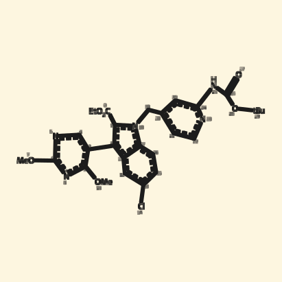 CCOC(=O)c1c(-c2cnc(OC)nc2OC)c2cc(Cl)ccc2n1Cc1ccnc(NC(=O)OC(C)(C)C)c1